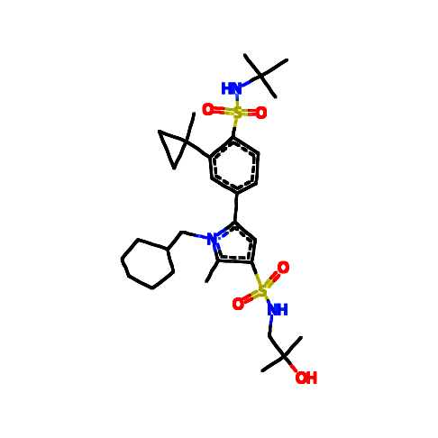 Cc1c(S(=O)(=O)NCC(C)(C)O)cc(-c2ccc(S(=O)(=O)NC(C)(C)C)c(C3(C)CC3)c2)n1CC1CCCCC1